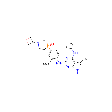 COc1cc(P2(=O)CCN(C3COC3)CC2)ccc1Nc1nc(NC2CCC2)c2c(C#N)c[nH]c2n1